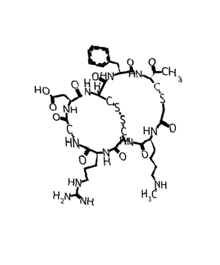 CNCCCC[C@@H]1NC(=O)CSC[C@@H](C(C)=O)NC(=O)[C@H](Cc2ccccc2)NC(=O)[C@@H]2CSSC[C@H](NC1=O)C(=O)N[C@@H](CCCNC(=N)N)C(=O)NCC(=O)N[C@@H](CC(=O)O)C(=O)N2